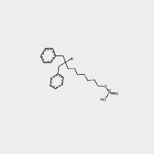 O=[PH](O)OCCCCCCCC(Br)(Cc1ccccc1)Cc1ccccc1